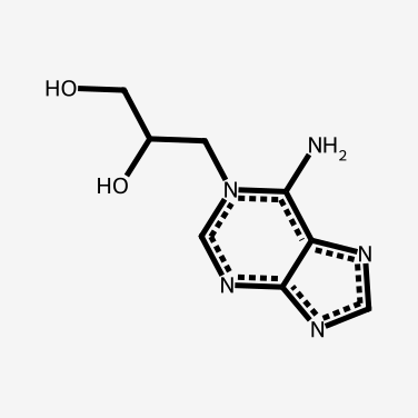 Nc1c2ncnc-2ncn1CC(O)CO